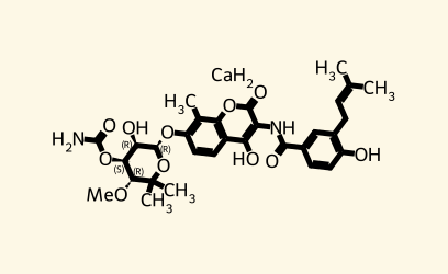 CO[C@@H]1[C@@H](OC(N)=O)[C@@H](O)[C@H](Oc2ccc3c(O)c(NC(=O)c4ccc(O)c(CC=C(C)C)c4)c(=O)oc3c2C)OC1(C)C.[CaH2]